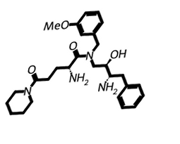 COc1cccc(CN(C[C@@H](O)[C@@H](N)Cc2ccccc2)C(=O)[C@H](N)CCC(=O)N2CCCCC2)c1